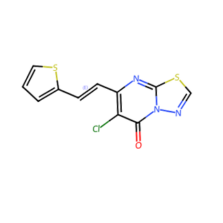 O=c1c(Cl)c(/C=C/c2cccs2)nc2scnn12